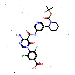 CC(C)(C)OC(=O)N1CCCC[C@H]1c1cncc(NC(=O)c2c(N)ncn(-c3c(Cl)cc(C(=O)O)cc3Cl)c2=O)c1